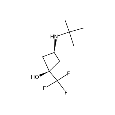 CC(C)(C)N[C@H]1C[C@](O)(C(F)(F)F)C1